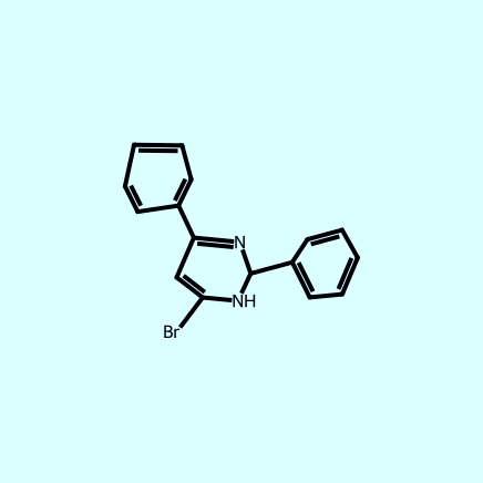 BrC1=CC(c2ccccc2)=NC(c2ccccc2)N1